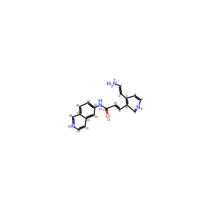 N/C=C/c1ccncc1/C=C/C(=O)Nc1ccc2cnccc2c1